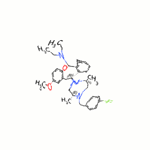 CCN(CC)C(=O)c1ccccc1[C@@H](c1cccc(OC)c1)N1C[C@@H](C)N(Cc2ccc(F)cc2)C[C@@H]1C